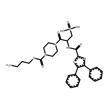 CCCCOC(=O)N1CCN(C(=O)C(CP(=O)(O)O)NC(=O)c2nc(-c3ccccc3)c(-c3ccccc3)s2)CC1